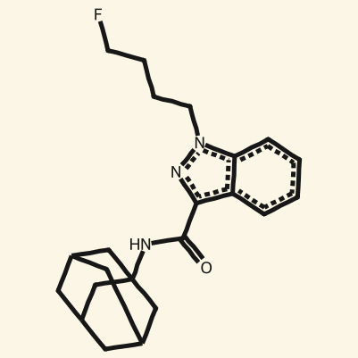 O=C(NC12CC3CC(CC(C3)C1)C2)c1nn(CCCCF)c2ccccc12